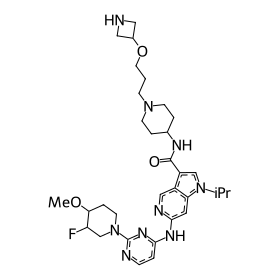 COC1CCN(c2nccc(Nc3cc4c(cn3)c(C(=O)NC3CCN(CCCOC5CNC5)CC3)cn4C(C)C)n2)CC1F